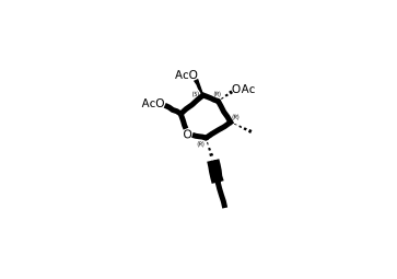 CC#C[C@@H]1OC(OC(C)=O)[C@@H](OC(C)=O)[C@H](OC(C)=O)[C@@H]1C